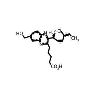 C=C(/C=C\C(Cl)=C/C)c1nc2ccc(CO)cc2nc1CCCCC(=O)O